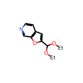 CCOC(OCC)c1cc2ccncc2o1